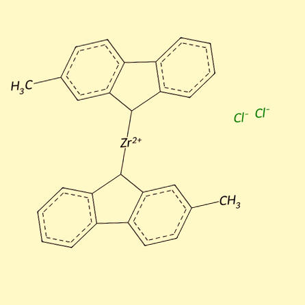 Cc1ccc2c(c1)[CH]([Zr+2][CH]1c3ccccc3-c3ccc(C)cc31)c1ccccc1-2.[Cl-].[Cl-]